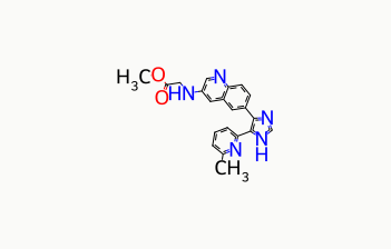 COC(=O)CNc1cnc2ccc(-c3nc[nH]c3-c3cccc(C)n3)cc2c1